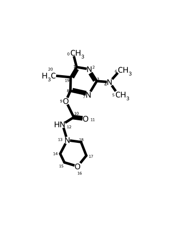 Cc1nc(N(C)C)nc(OC(=O)NN2CCOCC2)c1C